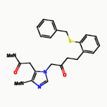 CNC(=O)Cc1c(NC)ncn1CC(=O)CCc1ccccc1SCc1ccccc1